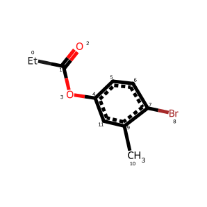 CCC(=O)Oc1ccc(Br)c(C)c1